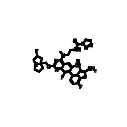 CN(CCNC(=O)n1ccnn1)c1nc(OC[C@@]23CCCN2C[C@H](F)C3)nc2c(F)c(-c3ccc(F)c4sc(N)c(C#N)c34)c(Cl)cc12